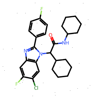 O=C(NC1CCCCC1)C(C1CCCCC1)n1c(-c2ccc(F)cc2)nc2cc(F)c(Cl)cc21